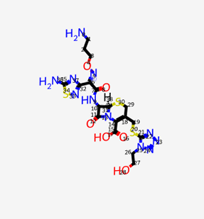 NCCCO/N=C(/C(=O)NC1C(=O)N2C(C(=O)O)=C(CSc3nnnn3CCO)CS[C@H]12)c1nsc(N)n1